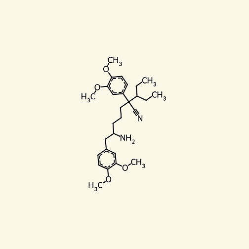 CCC(CC)C(C#N)(CCCC(N)Cc1ccc(OC)c(OC)c1)c1ccc(OC)c(OC)c1